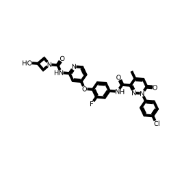 Cc1cc(=O)n(-c2ccc(Cl)cc2)nc1C(=O)Nc1ccc(Oc2ccnc(NC(=O)N3CC(O)C3)c2)c(F)c1